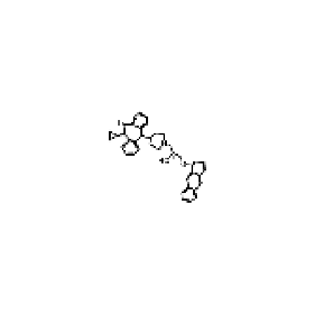 O[C@H](COc1cccc2cc3ccccc3cc12)CN1CCN(C2c3ccccc3C(F)C(C3CC3)c3ccccc32)CC1